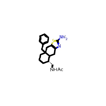 CC(=O)NC[C@@H]1CCCC2(Cc3ccccc3)Cc3sc(N)nc3CC12